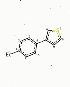 CCc1ccc(-c2[c]scc2)cc1